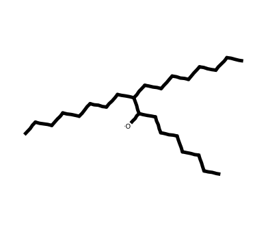 CCCCCCCCC(CCCCCCCC)C([O])CCCCCCC